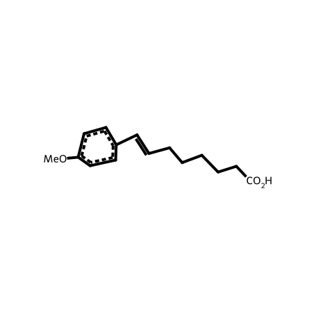 COc1ccc(C=CCCCCCC(=O)O)cc1